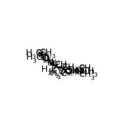 CC(C)(CCC(C)(C)C1(C)CCN(C2CN(C(C)(C)C)C2)CC1)C1CN(C2CCN(C(C)(C)C)CC2)C1